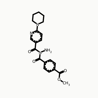 COC(=O)c1ccc(C(=O)N(N)C(=O)c2ccc(N3CCCCC3)nc2)cc1